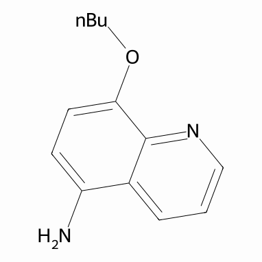 CCCCOc1ccc(N)c2cccnc12